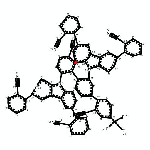 N#Cc1ccc(-n2c3ccc(-c4ccccc4C#N)cc3c3cc(-c4ccccc4C#N)ccc32)c(-c2ccc(-c3ccc(C(F)(F)F)cc3C#N)cc2-n2c3ccc(-c4ccccc4C#N)cc3c3cc(-c4ccccc4C#N)ccc32)c1